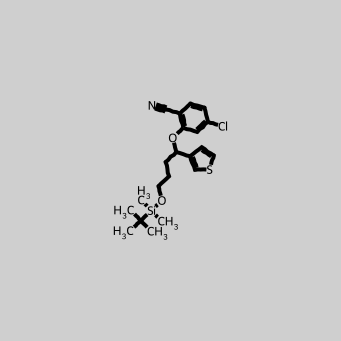 CC(C)(C)[Si](C)(C)OCCCC(Oc1cc(Cl)ccc1C#N)c1ccsc1